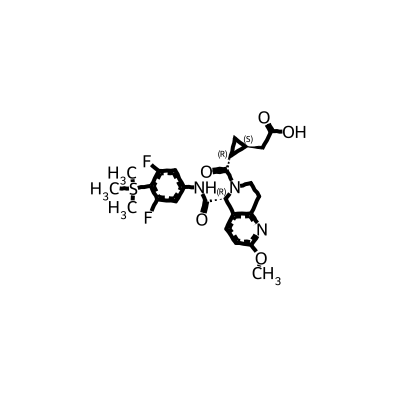 COc1ccc2c(n1)CCN(C(=O)[C@@H]1C[C@H]1CC(=O)O)[C@H]2C(=O)Nc1cc(F)c(S(C)(C)C)c(F)c1